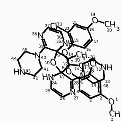 COc1ccc(OC(C)C2(OC3(C(C)Oc4ccc(OC)cc4Cl)NC=CN=C3N3CCNCC3)NC=CN=C2N2CCNCC2)c(Cl)c1